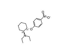 CCN(CC)[C@H]1CCCC[C@@H]1Oc1ccc([N+](=O)[O-])cc1